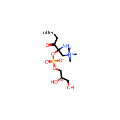 CCCCCCCCCCCC(=O)C(N)(C[N+](C)(C)C)OP(=O)([O-])OC[C@H](O)CO